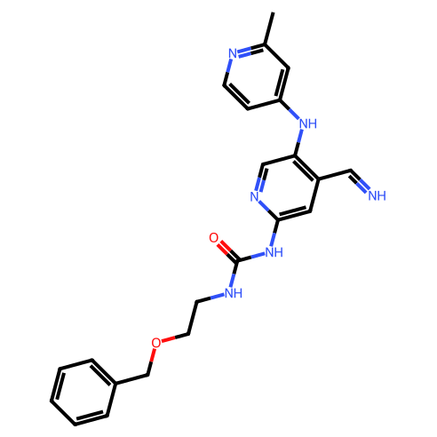 Cc1cc(Nc2cnc(NC(=O)NCCOCc3ccccc3)cc2C=N)ccn1